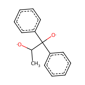 CC([O])C([O])(c1ccccc1)c1ccccc1